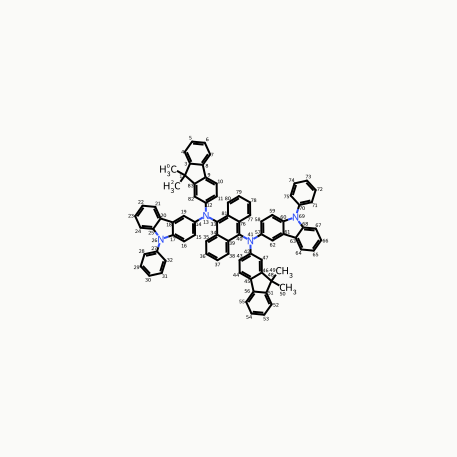 CC1(C)c2ccccc2-c2ccc(N(c3ccc4c(c3)c3ccccc3n4-c3ccccc3)c3c4ccccc4c(N(c4ccc5c(c4)C(C)(C)c4ccccc4-5)c4ccc5c(c4)c4ccccc4n5-c4ccccc4)c4ccccc34)cc21